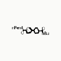 CCCCCC(=O)c1ccc(C2CCC(C(=O)CCCC)CC2)cc1